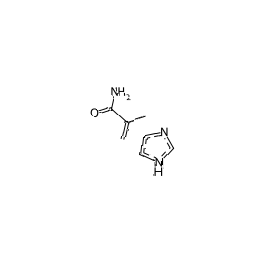 C=C(C)C(N)=O.c1c[nH]cn1